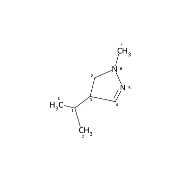 CC(C)C1C=NN(C)C1